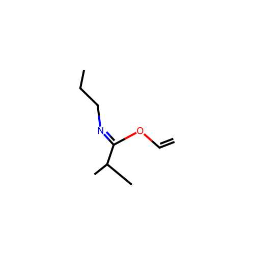 C=CO/C(=N\CCC)C(C)C